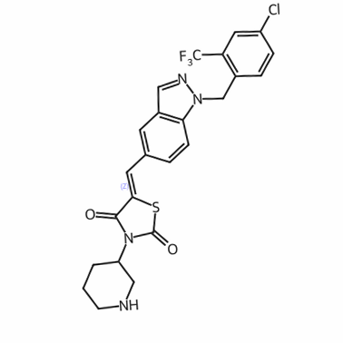 O=C1S/C(=C\c2ccc3c(cnn3Cc3ccc(Cl)cc3C(F)(F)F)c2)C(=O)N1C1CCCNC1